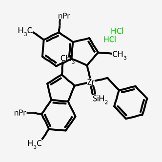 CCCc1c(C)ccc2c1C=C(C)[CH]2[Zr](=[SiH2])([CH2]c1ccccc1)[CH]1C(C)=Cc2c1ccc(C)c2CCC.Cl.Cl